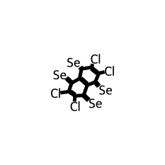 Clc1c(Cl)c(=[Se])c2c(=[Se])c(Cl)c(Cl)c(=[Se])c=2c1=[Se]